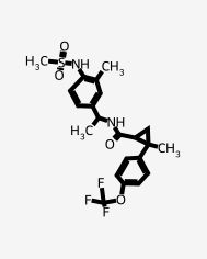 Cc1cc(C(C)NC(=O)C2CC2(C)c2ccc(OC(F)(F)F)cc2)ccc1NS(C)(=O)=O